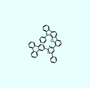 c1ccc(-c2cc(-c3cccc4c3oc3c4ccc4c5ccccc5n(-c5ccccc5)c43)nc(-c3ccc4c5ccccc5c5ccccc5c4c3)n2)cc1